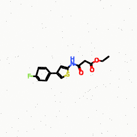 CCOC(=O)CC(=O)Nc1cc(-c2ccc(F)cc2)cs1